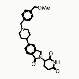 COCc1ccc(CN2CCC(c3ccc4c(c3)CN(C3CCC(=O)NC3=O)C4=O)CC2)cc1